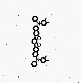 Cc1ccc(N(c2ccccc2)c2ccc3cc4c(cc3c2)oc2c4ccc3c4cc5ccc(N(c6ccccc6)c6ccc(C)c(C)c6)cc5cc4oc32)cc1C